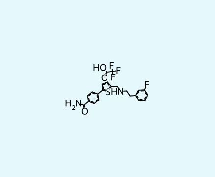 NC(=O)c1ccc(-c2ccc(CNCCc3cccc(F)c3)s2)cc1.O=C(O)C(F)(F)F